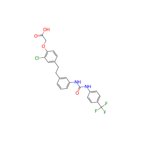 O=C(O)COc1ccc(CCc2cccc(NC(=O)Nc3ccc(C(F)(F)F)cc3)c2)cc1Cl